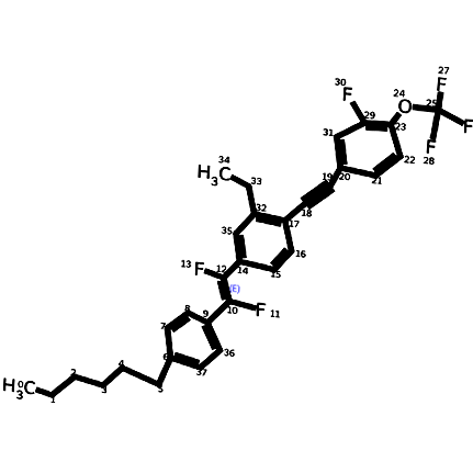 CCCCCCc1ccc(/C(F)=C(\F)c2ccc(C#Cc3ccc(OC(F)(F)F)c(F)c3)c(CC)c2)cc1